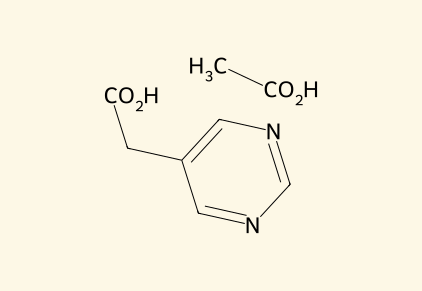 CC(=O)O.O=C(O)Cc1cncnc1